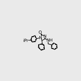 CC(C)c1ccc(N2C(=O)N=C(NCc3ccccc3)C2c2ccccc2)cc1